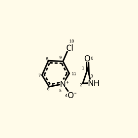 O=C1CN1.[O-][n+]1cccc(Cl)c1